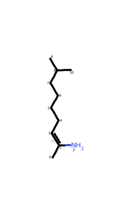 C/C(N)=C/CCCCC(C)C